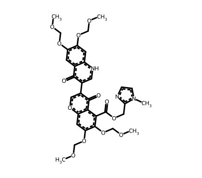 COCOc1cc2[nH]cc(-c3coc4cc(OCOC)c(OCOC)c(C(=O)OCc5nccn5C)c4c3=O)c(=O)c2cc1OCOC